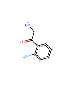 [NH]CC(=O)c1ccccc1F